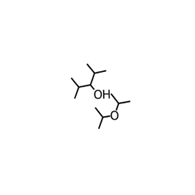 CC(C)C(O)C(C)C.CC(C)OC(C)C